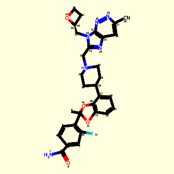 CC1(c2ccc(C(N)=O)cc2F)Oc2cccc(C3CCN(Cc4nc5cc(C#N)nnc5n4C[C@@H]4CCO4)CC3)c2O1